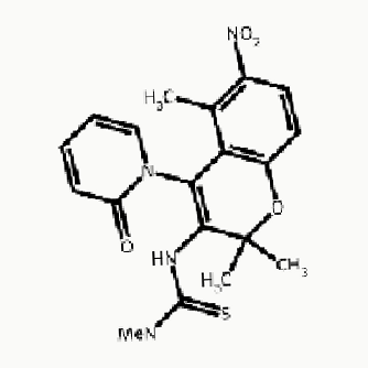 CNC(=S)NC1=C(n2ccccc2=O)c2c(ccc([N+](=O)[O-])c2C)OC1(C)C